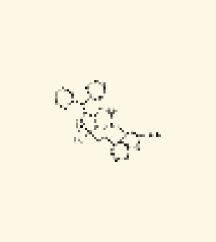 Cc1cc(C)c2c(OCC(C)(O)N3CCNCC3C(=O)C(c3ccccc3)c3ccccc3)cccc2n1